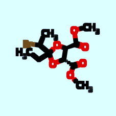 CCC1(C(C)Br)O[C@@H](C(=O)OC)[C@H](C(=O)OC)O1